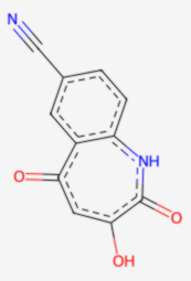 N#Cc1ccc2[nH]c(=O)c(O)cc(=O)c2c1